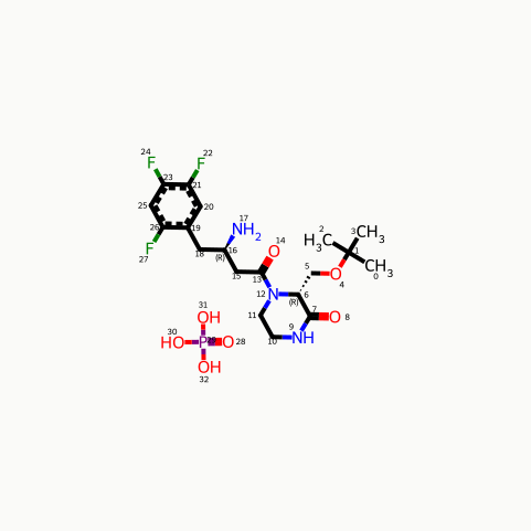 CC(C)(C)OC[C@@H]1C(=O)NCCN1C(=O)C[C@H](N)Cc1cc(F)c(F)cc1F.O=P(O)(O)O